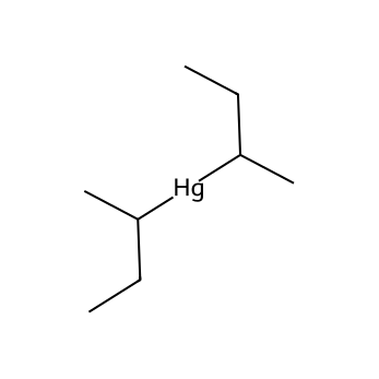 CC[CH](C)[Hg][CH](C)CC